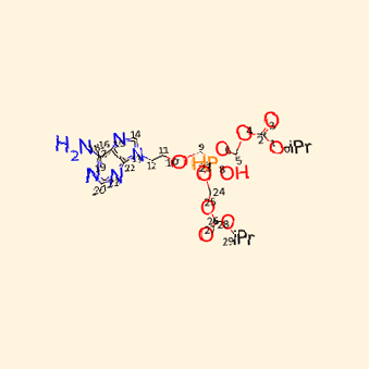 CC(C)OC(=O)OCO[PH](O)(COCCn1cnc2c(N)ncnc21)OCOC(=O)OC(C)C